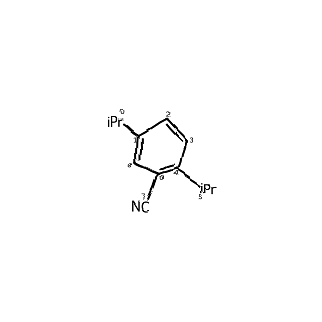 [CH2]C(C)c1ccc(C(C)C)c(C#N)c1